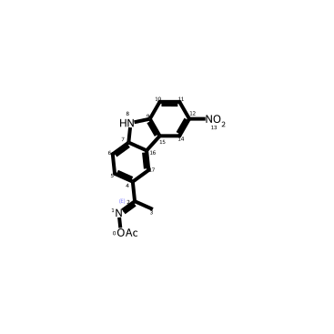 CC(=O)O/N=C(\C)c1ccc2[nH]c3ccc([N+](=O)[O-])cc3c2c1